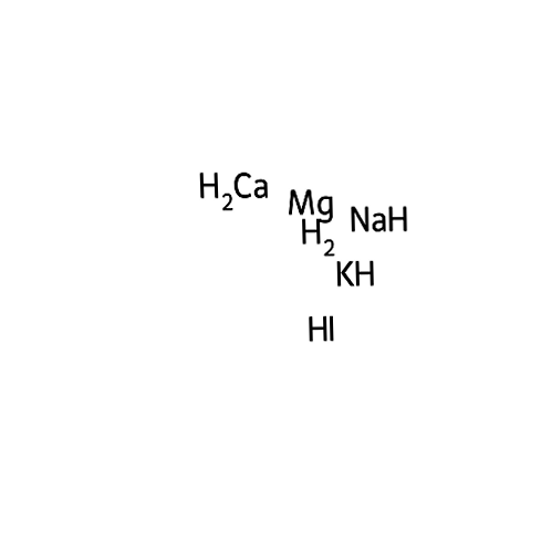 I.[CaH2].[KH].[MgH2].[NaH]